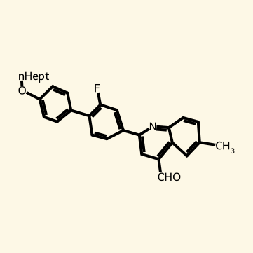 CCCCCCCOc1ccc(-c2ccc(-c3cc(C=O)c4cc(C)ccc4n3)cc2F)cc1